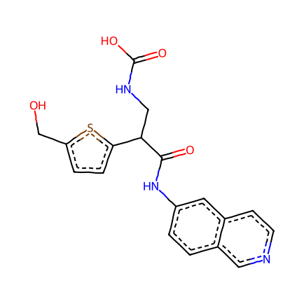 O=C(O)NCC(C(=O)Nc1ccc2cnccc2c1)c1ccc(CO)s1